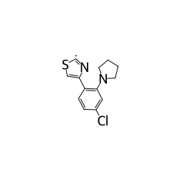 Clc1ccc(-c2cs[c]n2)c(N2CCCC2)c1